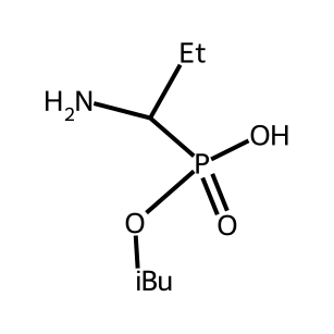 CCC(C)OP(=O)(O)C(N)CC